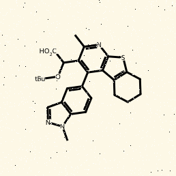 Cc1nc2sc3c(c2c(-c2ccc4c(cnn4C)c2)c1C(OC(C)(C)C)C(=O)O)CCCC3